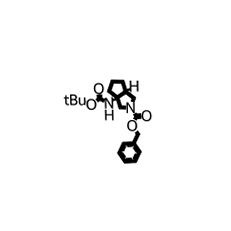 CC(C)(C)OC(=O)N[C@@]12CCC[C@@H]1CN(C(=O)OCc1ccccc1)C2